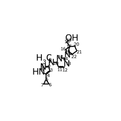 CN(c1cc(C2CC2)[nH]n1)c1ccnc(N2CC3(CO)CCC2C3)n1